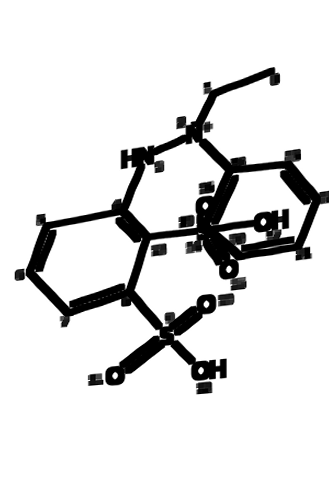 CC[N+](Nc1cccc(S(=O)(=O)O)c1S(=O)(=O)O)c1ccccc1